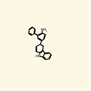 Nc1ccc(C2C=Cc3[nH]c4ccccc4c3C2)cc1-c1ccccc1